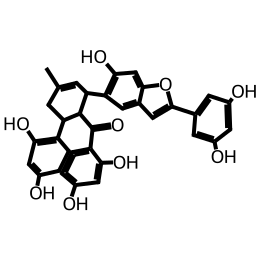 CC1=CC(c2cc3cc(-c4cc(O)cc(O)c4)oc3cc2O)C(C(=O)C2=C=C=C(O)C=C2O)C(C2=C(O)C=C(O)CC2)C1